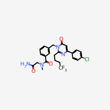 CN(CC(N)=O)C(=O)c1cccc(Cn2c(CCCC(F)(F)F)nc(-c3ccc(Cl)cc3)cc2=O)c1